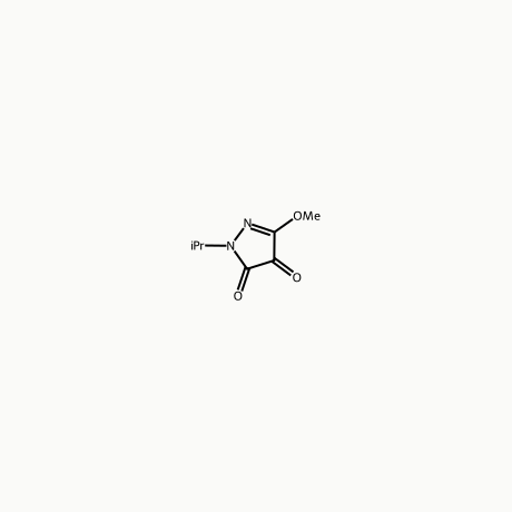 COC1=NN(C(C)C)C(=O)C1=O